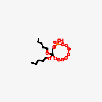 CCCCCOC1(OCCCCC)COP(=O)(O)OOOOOOOO1